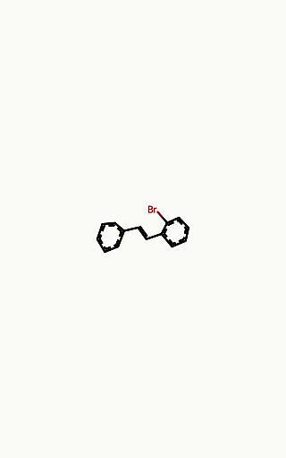 Brc1ccccc1C=Cc1ccccc1